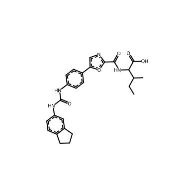 CCC(C)C(NC(=O)c1ncc(-c2ccc(NC(=O)Nc3ccc4c(c3)CCC4)cc2)o1)C(=O)O